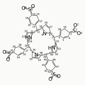 O=S(=O)=C1C=CC(c2c3nc(c(C4=CCC(=S(=O)=O)C=C4)c4ccc([nH]4)c(C4=CCC(=S(=O)=O)C=C4)c4nc(c(C5=CCC(=S(=O)=O)C=C5)c5ccc2[nH]5)C=C4)C=C3)=CC1